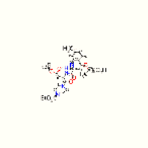 CCOC(=O)N1CCN(C(=O)C(CC(=O)OC(C)(C)C)NC(=O)c2cc(O[C@H](C)C(=O)O)c3ccc(C)cc3n2)CC1